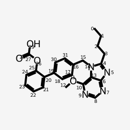 CCCCc1nc2ncnc(OC)c2n1Cc1ccc(-c2ccccc2OC(=O)O)cc1